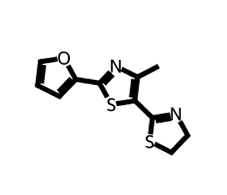 Cc1nc(-c2ccco2)sc1C1=NCCS1